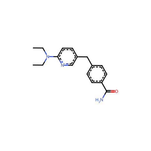 CCN(CC)c1ccc(Cc2ccc(C(N)=O)cc2)cn1